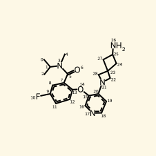 CC(C)N(C)C(=O)c1cc(F)ccc1Oc1cnccc1N1CC2(CC(N)C2)C1